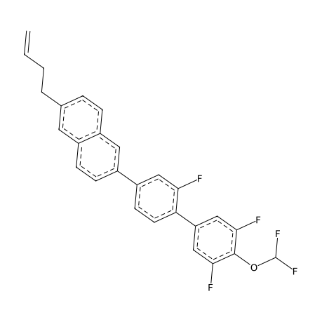 C=CCCc1ccc2cc(-c3ccc(-c4cc(F)c(OC(F)F)c(F)c4)c(F)c3)ccc2c1